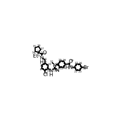 CCC1(C(=O)NCc2ccc(Cl)c(Nc3nc4cc(C(=O)Nc5ccc(Br)cc5)ccc4n3C)c2)CCCC1